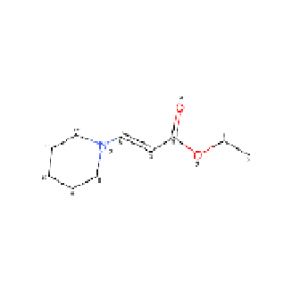 CCOC(=O)C=CN1CCCCC1